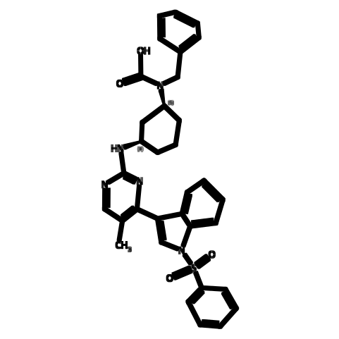 Cc1cnc(N[C@@H]2CCC[C@H](N(Cc3ccccc3)C(=O)O)C2)nc1-c1cn(S(=O)(=O)c2ccccc2)c2ccccc12